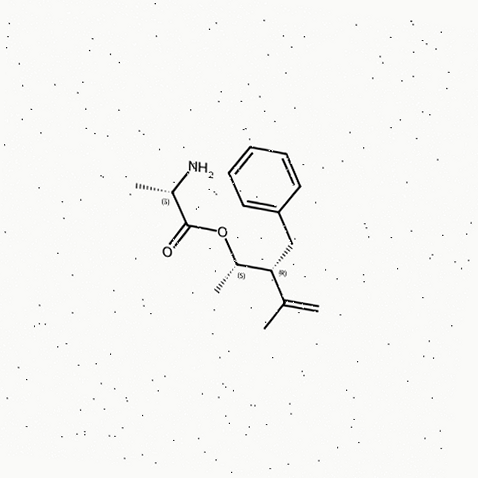 C=C(C)[C@@H](Cc1ccccc1)[C@H](C)OC(=O)[C@H](C)N